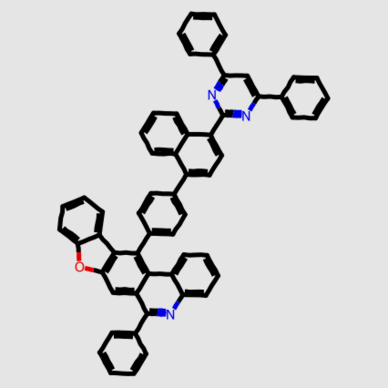 c1ccc(-c2cc(-c3ccccc3)nc(-c3ccc(-c4ccc(-c5c6c(cc7c(-c8ccccc8)nc8ccccc8c57)oc5ccccc56)cc4)c4ccccc34)n2)cc1